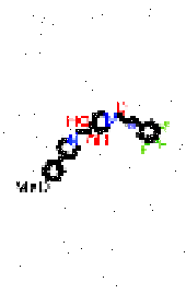 COc1ccc(C2CCN(CC(O)C3(O)CCN(C(=O)/C=C/c4cc(F)c(F)c(F)c4)CC3)CC2)cc1